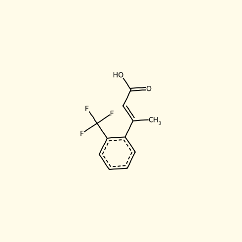 CC(=CC(=O)O)c1ccccc1C(F)(F)F